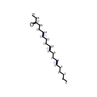 CCCCC/C=C/CC/C=C/CC/C=C/CCC(=O)CC